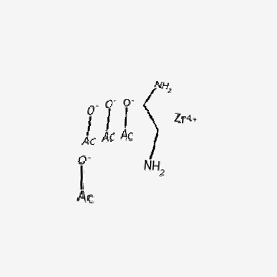 CC(=O)[O-].CC(=O)[O-].CC(=O)[O-].CC(=O)[O-].NCCN.[Zr+4]